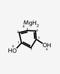 Oc1cccc(O)c1.[MgH2]